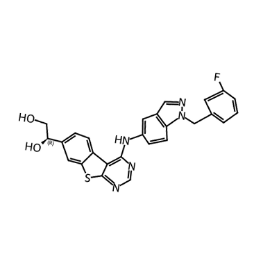 OC[C@H](O)c1ccc2c(c1)sc1ncnc(Nc3ccc4c(cnn4Cc4cccc(F)c4)c3)c12